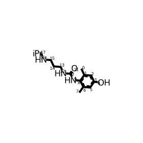 Cc1cc(O)cc(C)c1NC(=O)NCCCNC(C)C